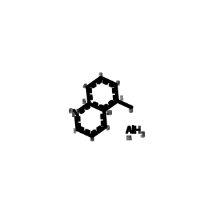 Cc1cccc2ncccc12.[AlH3]